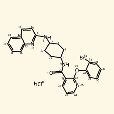 Cl.O=C(NC1CCC(Nc2ccc3ccccc3n2)CC1)c1cccnc1Oc1ccccc1Br